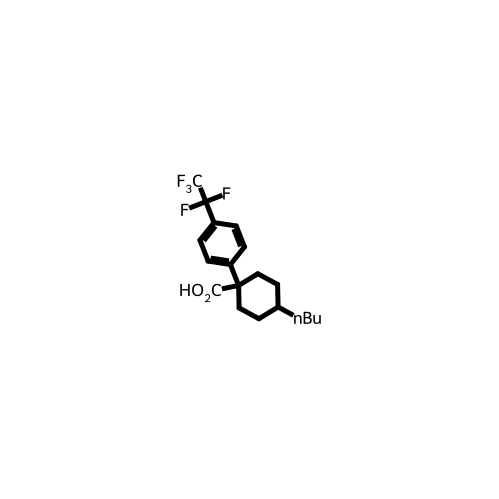 CCCCC1CCC(C(=O)O)(c2ccc(C(F)(F)C(F)(F)F)cc2)CC1